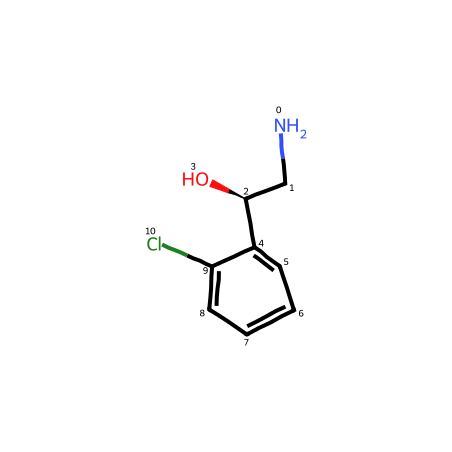 NC[C@H](O)c1ccccc1Cl